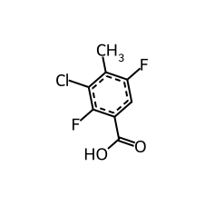 Cc1c(F)cc(C(=O)O)c(F)c1Cl